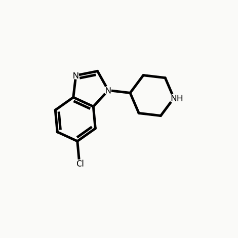 Clc1ccc2ncn(C3CCNCC3)c2c1